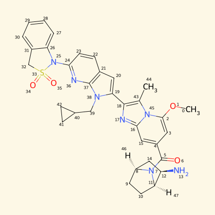 COc1cc(C(=O)N2[C@H]3CC[C@@H]2[C@H](N)C3)cc2nc(-c3cc4ccc(N5c6ccccc6CS5(=O)=O)nc4n3CC3CC3)c(C)n12